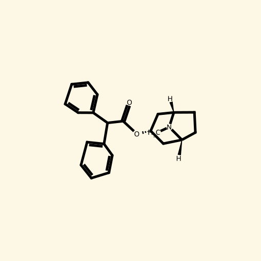 CN1[C@@H]2CC[C@H]1C[C@@H](OC(=O)C(c1ccccc1)c1ccccc1)C2